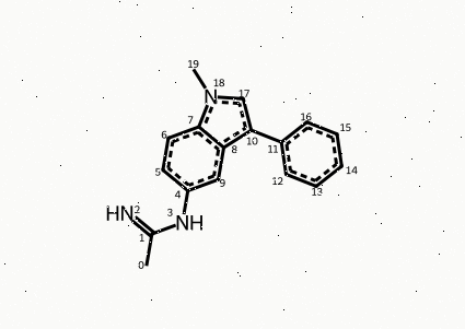 CC(=N)Nc1ccc2c(c1)c(-c1ccccc1)cn2C